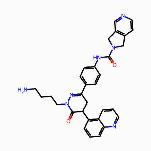 NCCCCN1N=C(c2ccc(NC(=O)N3Cc4ccncc4C3)cc2)CC(c2cccc3ncccc23)C1=O